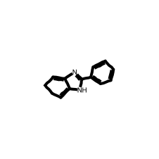 C1=c2nc(-c3ccccc3)[nH]c2=CCC1